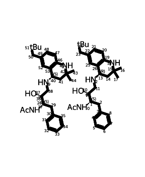 CC(=O)N[C@@H](Cc1ccccc1)[C@H](O)CN[C@@H]1CC(C)(C)Nc2ccc(CC(C)(C)C)cc21.CC(=O)N[C@@H](Cc1ccccc1)[C@H](O)CN[C@H]1CC(C)(C)Nc2ccc(CC(C)(C)C)cc21